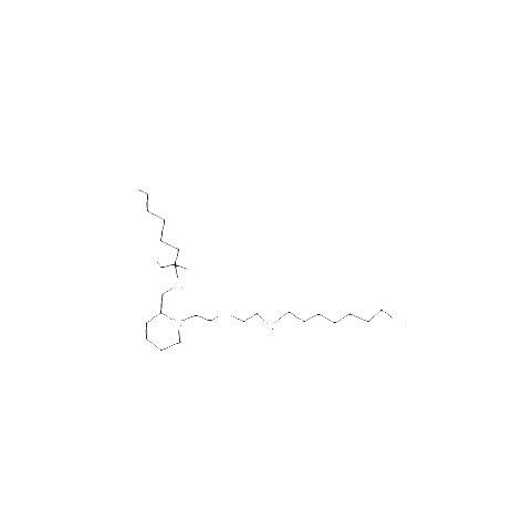 CCCCCCCCNCCOCCN1CCCCC1CNC(C)(CC)CCCCCC